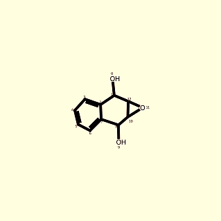 OC1c2ccccc2C(O)C2OC12